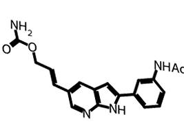 CC(=O)Nc1cccc(-c2cc3cc(C=CCOC(N)=O)cnc3[nH]2)c1